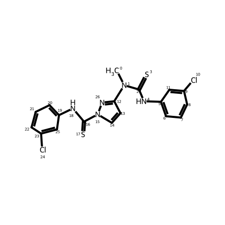 CN(C(=S)Nc1cccc(Cl)c1)c1ccn(C(=S)Nc2cccc(Cl)c2)n1